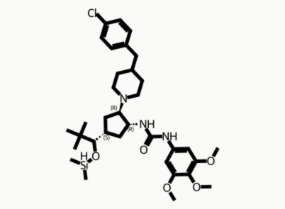 COc1cc(NC(=O)N[C@@H]2C[C@H](C(O[SiH](C)C)C(C)(C)C)C[C@H]2N2CCC(Cc3ccc(Cl)cc3)CC2)cc(OC)c1OC